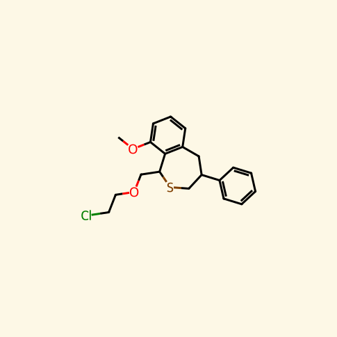 COc1cccc2c1C(COCCCl)SCC(c1ccccc1)C2